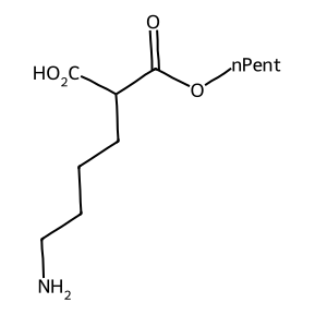 CCCCCOC(=O)C(CCCCN)C(=O)O